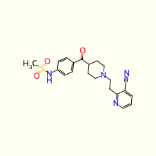 CS(=O)(=O)Nc1ccc(C(=O)C2CCN(CCc3ncccc3C#N)CC2)cc1